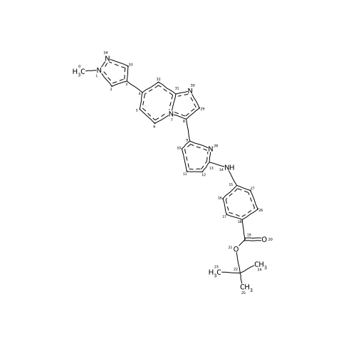 Cn1cc(-c2ccn3c(-c4cccc(Nc5ccc(C(=O)OC(C)(C)C)cc5)n4)cnc3c2)cn1